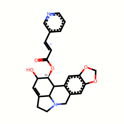 O=C(/C=C/c1cccnc1)O[C@@H]1C(O)C=C2CCN3Cc4cc5c(cc4C1C23)OCO5